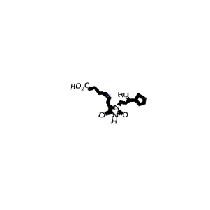 O=C(O)CCC/C=C\CC1C(=O)NC(=O)N1CCC(O)C1CCCC1